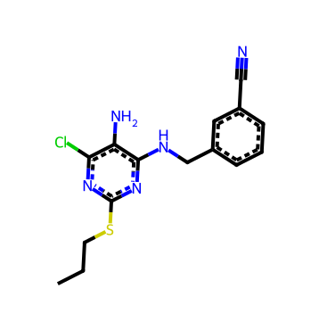 CCCSc1nc(Cl)c(N)c(NCc2cccc(C#N)c2)n1